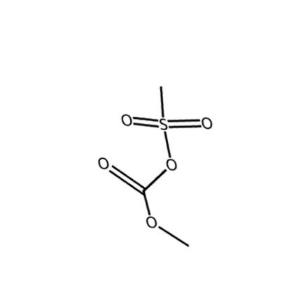 COC(=O)OS(C)(=O)=O